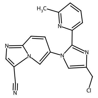 Cc1cccc(-c2nc(CCl)cn2-c2ccc3ncc(C#N)n3c2)n1